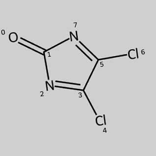 O=C1N=C(Cl)C(Cl)=N1